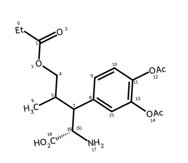 CCC(=O)OCC(C)C(c1ccc(OC(C)=O)c(OC(C)=O)c1)[C@H](N)C(=O)O